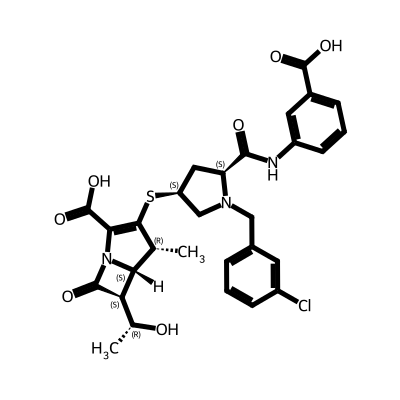 C[C@@H](O)[C@H]1C(=O)N2C(C(=O)O)=C(S[C@H]3C[C@@H](C(=O)Nc4cccc(C(=O)O)c4)N(Cc4cccc(Cl)c4)C3)[C@H](C)[C@H]12